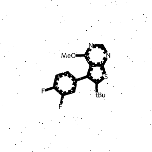 COc1ncnc2sc(C(C)(C)C)c(-c3ccc(F)c(F)c3)c12